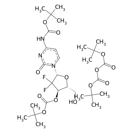 CC(C)(C)OC(=O)Nc1ccn([C@@H]2O[C@H](CO)[C@@H](OC(=O)OC(C)(C)C)C2(F)F)c(=O)n1.CC(C)(C)OC(=O)OC(=O)OC(C)(C)C